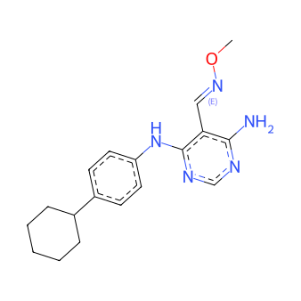 CO/N=C/c1c(N)ncnc1Nc1ccc(C2CCCCC2)cc1